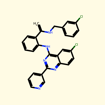 C=C(NCc1cccc(Cl)c1)c1ccccc1Nc1nc(-c2cccnc2)nc2ccc(Cl)cc12